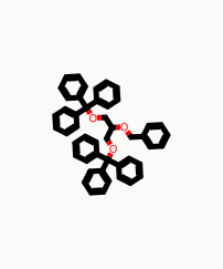 c1ccc(COC(COC(c2ccccc2)(c2ccccc2)c2ccccc2)COC(c2ccccc2)(c2ccccc2)c2ccccc2)cc1